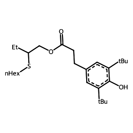 CCCCCCSC(CC)COC(=O)CCc1cc(C(C)(C)C)c(O)c(C(C)(C)C)c1